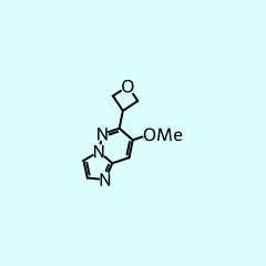 COc1cc2nccn2nc1C1COC1